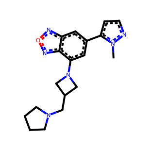 Cn1nccc1-c1cc(N2CC(CN3CCCC3)C2)c2nonc2c1